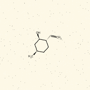 C=C[C@@H]1CC[C@@H](C)C[C@H]1O